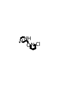 CN1CCNC(COc2cccc(Cl)n2)C1